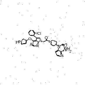 Nc1ncccc1N(C=O)C1CCN(C(=O)Cn2cc(-c3ccccc3Cl)c3c(OC4CCNC4)ncnc32)CC1